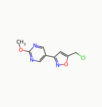 COc1ncc(-c2cc(CCl)on2)cn1